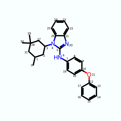 CC1CC(n2c(Nc3ccc(Oc4ccccc4)cc3)nc3ccccc32)CC(C)(C)C1